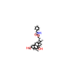 CC[C@H]1[C@@H](O)[C@H]2C3CCC([C@H](C)CCCOC(=O)NCc4cc#ccc4)[C@@]3(C)CCC2[C@@]2(C)CC[C@@H](O)C[C@@H]12